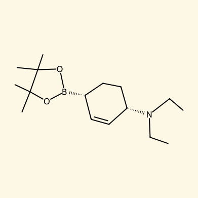 CCN(CC)[C@@H]1C=C[C@H](B2OC(C)(C)C(C)(C)O2)CC1